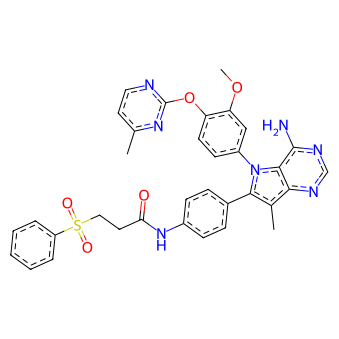 COc1cc(-n2c(-c3ccc(NC(=O)CCS(=O)(=O)c4ccccc4)cc3)c(C)c3ncnc(N)c32)ccc1Oc1nccc(C)n1